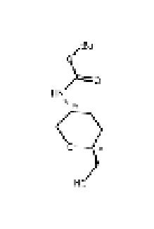 CC(C)(C)OC(=O)N[C@@H]1CC[C@@H](CC#N)OC1